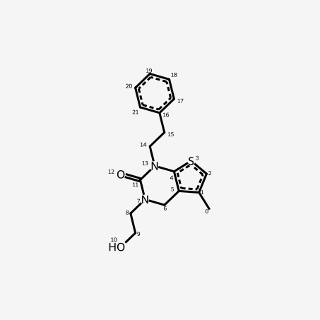 Cc1csc2c1CN(CCO)C(=O)N2CCc1ccccc1